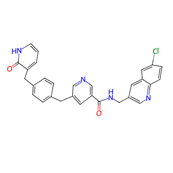 O=C(NCc1cnc2ccc(Cl)cc2c1)c1cncc(Cc2ccc(Cc3ccc[nH]c3=O)cc2)c1